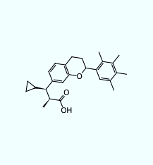 Cc1cc(C2CCc3ccc([C@H](C4CC4)[C@H](C)C(=O)O)cc3O2)c(C)c(C)c1C